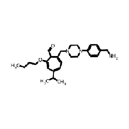 CCCCOC1=CC(C(C)C)=CC=C(CN2CCN(c3ccc(CN)cc3)CC2)C1C=O